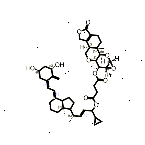 C=C1/C(=C\C=C2/CCC[C@@]3(C)C2CCC3[C@@H](C)/C=C/C(OC(=O)CCC(=O)O[C@H]2[C@@]3(C)OC[C@H]4C5=C(CC[C@]4(C)[C@H]3O[C@@H]3O[C@@]32C(C)C)C(=O)OC5)C2CC2)C[C@@H](O)C[C@@H]1O